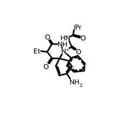 CCC1C(=O)N[N+](C(=O)NC(=O)C(C)C)(c2ccccc2)C2(C=CC(N)=[C]C2)C1=O